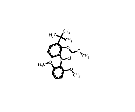 COCOc1c(P(Cl)c2c(OC)cccc2OC)cccc1C(C)(C)C